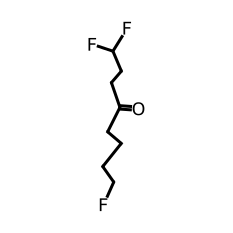 O=C(CCCCF)CCC(F)F